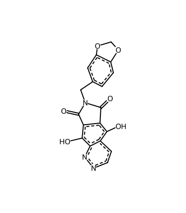 O=C1c2c(c(O)c3nnccc3c2O)C(=O)N1Cc1ccc2c(c1)OCO2